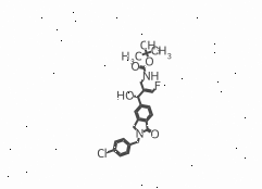 CC(C)(C)OC(=O)NCC(=CF)C(O)c1ccc2c(c1)CN(Cc1ccc(Cl)cc1)C2=O